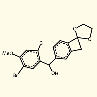 COc1cc(Cl)c(C(O)c2ccc3c(c2)CC32OCCO2)cc1Br